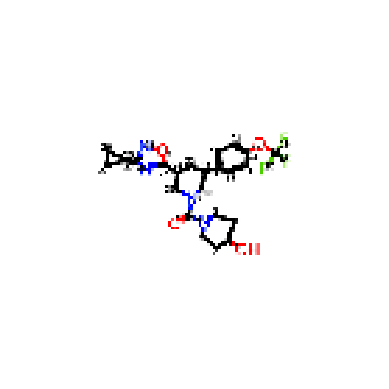 O=C(N1CCC(O)CC1)N1CC(c2ccc(OC(F)(F)F)cc2)CC(c2nc(C3CC3)no2)C1